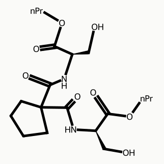 CCCOC(=O)[C@@H](CO)NC(=O)C1(C(=O)N[C@H](CO)C(=O)OCCC)CCCC1